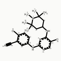 CN1C(C)(C)CC(Nc2nc(Nc3ccc(Cl)c(C#N)c3)ncc2Cl)CC1(C)C